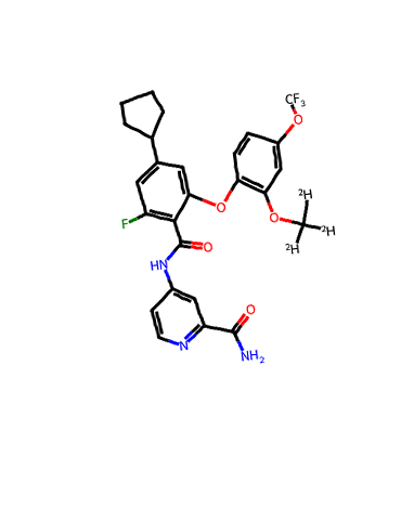 [2H]C([2H])([2H])Oc1cc(OC(F)(F)F)ccc1Oc1cc(C2CCCC2)cc(F)c1C(=O)Nc1ccnc(C(N)=O)c1